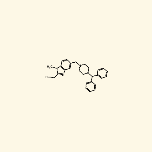 Cn1c(CO)nc2cc(CN3CCN(C(c4ccccc4)c4ccccc4)CC3)ccc21